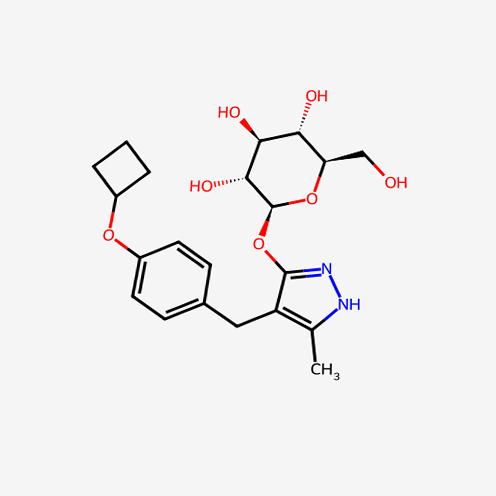 Cc1[nH]nc(O[C@@H]2O[C@H](CO)[C@@H](O)[C@H](O)[C@H]2O)c1Cc1ccc(OC2CCC2)cc1